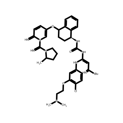 CC1CCCN1C(=N)n1cc(OC2CC[C@H](NC(=O)N/C(=C/C(=N)C(C)(C)C)Nc3ccc(Cl)c(OCCN(C)C)c3)c3ccccc32)ccc1=N